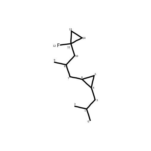 CC(C)CC1CC1CC(C)CC1(F)CC1